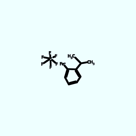 CC(C)c1cccc[c]1[Fe+].F[P-](F)(F)(F)(F)F